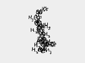 CC1C(C(=O)OCc2ccccc2)CC1C(=O)OC1CCC2(C)C(CCC3(C)C4CCC5(C(=O)NC(C)(C)c6nc(-c7ccccc7)cn6CCN(C)C)CCCC5C4CCC23)C1N